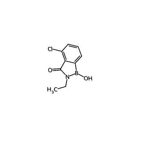 CCN1B(O)c2cccc(Cl)c2C1=O